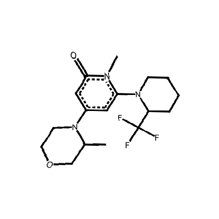 CC1COCCN1c1cc(N2CCCCC2C(F)(F)F)n(C)c(=O)c1